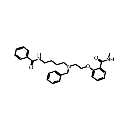 CNC(=O)c1ccccc1OCCN(CCCCNC(=O)c1ccccc1)Cc1ccccc1